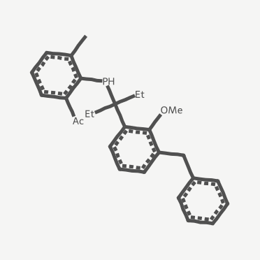 CCC(CC)(Pc1c(C)cccc1C(C)=O)c1cccc(Cc2ccccc2)c1OC